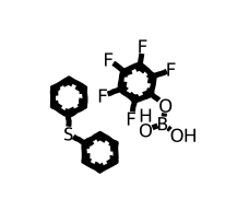 OB(O)Oc1c(F)c(F)c(F)c(F)c1F.c1ccc(Sc2ccccc2)cc1